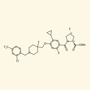 COC(=O)[C@@H]1C[C@@H](F)CN1C(=O)c1cc(C2CC2)c(OCC2(F)CCN(Cc3ccc(C(F)(F)F)cc3Cl)CC2)cc1F